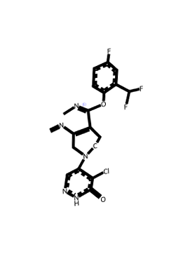 C=NC1=C(/C(=N\C)Oc2ccc(F)cc2C(F)F)CCN(c2cn[nH]c(=O)c2Cl)C1